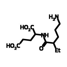 CCC(CCCN)C(=O)NC(CCC(=O)O)C(=O)O